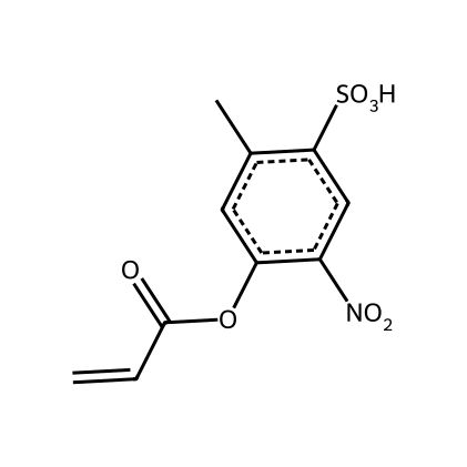 C=CC(=O)Oc1cc(C)c(S(=O)(=O)O)cc1[N+](=O)[O-]